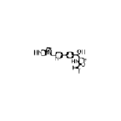 O=C(N[C@H](CF)[C@H](O)c1ccc(-c2ccc(CN3CCC34CCNC4)nc2)cc1)C(F)F